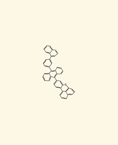 c1cc(-c2cccc3ccccc23)cc(-c2c3ccccc3c(-c3ccc4c(c3)Sc3cccc5cccc-4c35)c3ccccc23)c1